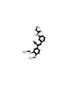 CCOc1cc(C(C#N)=Cc2cccc(NC(=O)CN)c2)ccc1OC